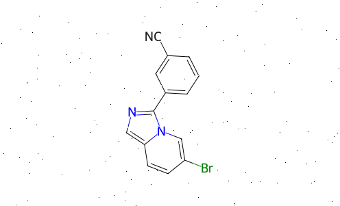 N#Cc1cccc(-c2ncc3ccc(Br)cn23)c1